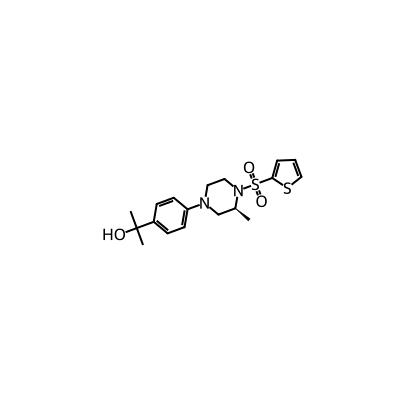 C[C@H]1CN(c2ccc(C(C)(C)O)cc2)CCN1S(=O)(=O)c1cccs1